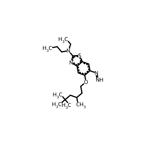 CCCN(CC)c1nc2cc(OCCC(C)CC(C)(C)C)c(N=N)cc2s1